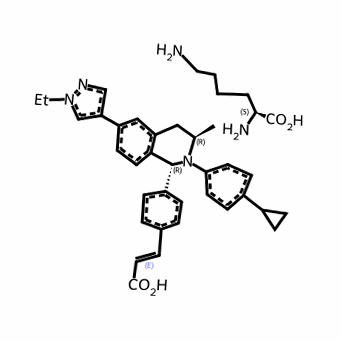 CCn1cc(-c2ccc3c(c2)C[C@@H](C)N(c2ccc(C4CC4)cc2)[C@@H]3c2ccc(/C=C/C(=O)O)cc2)cn1.NCCCC[C@H](N)C(=O)O